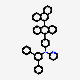 c1ccc(-c2cc(-c3ccccc3)cc(N(c3ccc(-c4c5ccccc5c(-c5cc6ccccc6c6ccccc56)c5ccccc45)cc3)c3ccccn3)c2)cc1